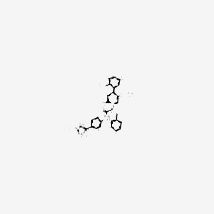 COc1cn([C@@H](Cc2ccccc2)C(=O)Nc2ccc(-c3nn[nH]n3)cc2)c(=O)cc1-c1cc(Cl)ccc1C(C)=O